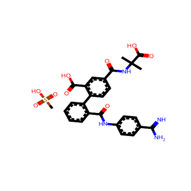 CC(C)(NC(=O)c1ccc(-c2ccccc2C(=O)Nc2ccc(C(=N)N)cc2)c(C(=O)O)c1)C(=O)O.CS(=O)(=O)O